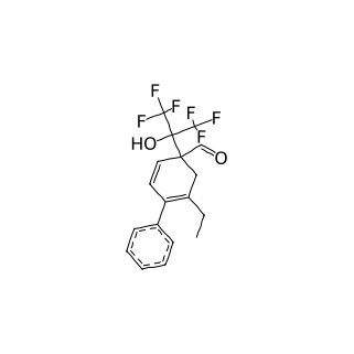 CCC1=C(c2ccccc2)C=CC(C=O)(C(O)(C(F)(F)F)C(F)(F)F)C1